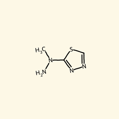 CN(N)c1nncs1